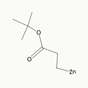 CC(C)(C)OC(=O)C[CH2][Zn]